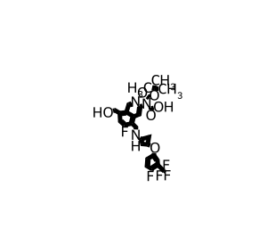 CC(C)(C)OC(=O)N(C(=O)O)c1cc2c(CNC3CC(Oc4ccc(F)c(C(F)(F)F)c4)C3)c(F)cc(CO)c2cn1